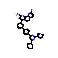 Cc1ccc2ccc3c(-c4cccc(-c5ccc(-c6cc(C7=CC=CCC7)nc(-c7cccnc7)n6)cc5)c4)cc(C)nc3c2n1